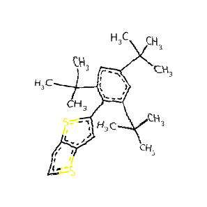 CC(C)(C)c1cc(C(C)(C)C)c(-c2cc3sccc3s2)c(C(C)(C)C)c1